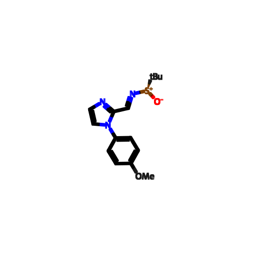 COc1ccc(-n2ccnc2C=N[S@+]([O-])C(C)(C)C)cc1